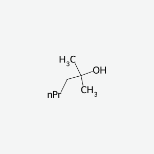 [CH2]CCCC(C)(C)O